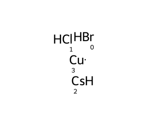 Br.Cl.[CsH].[Cu]